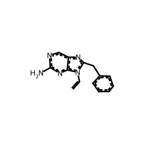 C=Cn1c(Cc2ccccc2)nc2cnc(N)nc21